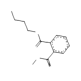 CCCCOC(=O)c1ccccc1C(=O)[O][Ti]